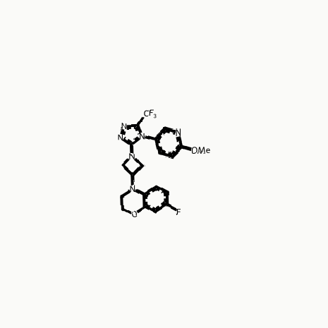 COc1ccc(-n2c(N3CC(N4CCOc5cc(F)ccc54)C3)nnc2C(F)(F)F)cn1